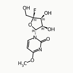 COc1ccn([C@@H]2O[C@](F)(CO)[C@@H](O)[C@H]2O)c(=O)n1